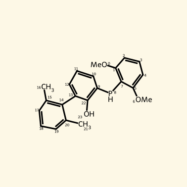 COc1cccc(OC)c1Pc1cccc(-c2c(C)cccc2C)c1O